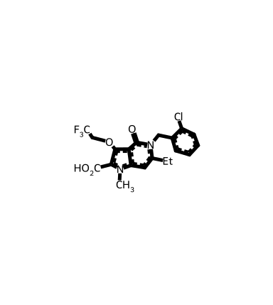 CCc1cc2c(c(OCC(F)(F)F)c(C(=O)O)n2C)c(=O)n1Cc1ccccc1Cl